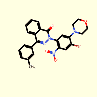 Cc1cccc(-c2nn(-c3cc(N4CCOCC4)c(Br)cc3[N+](=O)[O-])c(=O)c3ccccc23)c1